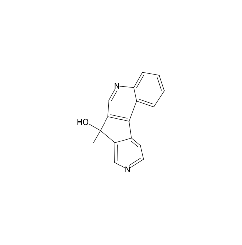 CC1(O)c2cnccc2-c2c1cnc1ccccc21